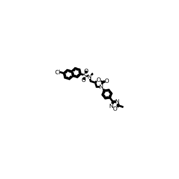 Cc1nc(-c2ccc(N3CC(CN(C)S(=O)(=O)c4ccc5cc(Cl)ccc5c4)OC3=O)cc2)no1